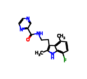 Cc1[nH]c2c(F)ccc(C)c2c1CCNC(=O)c1cnccn1